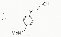 CNCc1ccc(OCCO)cc1